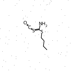 CCCCSC(N)=S=C=O